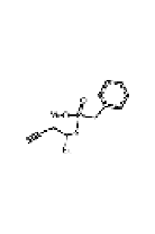 C#CCC(CC)SP(=O)(Cc1ccccc1)OC